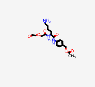 CC(=O)OCc1ccc(NC(=O)C(CCCCN)NC(=O)COCC=O)cc1